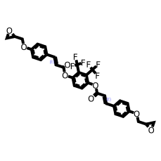 O=C(/C=C/c1ccc(OCC2CO2)cc1)Oc1ccc(OC(=O)/C=C/c2ccc(OCC3CO3)cc2)c(C(F)(F)F)c1C(F)(F)F